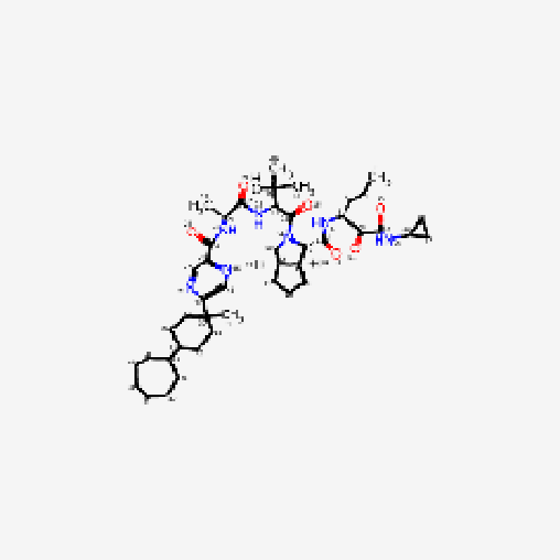 CCC[C@H](NC(=O)[C@@H]1[C@H]2CCC[C@H]2CN1C(=O)[C@@H](NC(=O)[C@H](C)NC(=O)c1cnc(C2(C)CCC(C3CCCCCC3)CC2)cn1)C(C)(C)C)C(=O)C(=O)NC1CC1